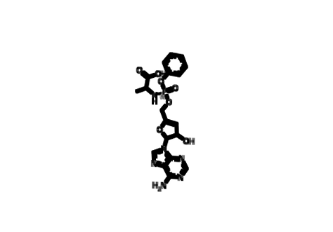 CC(N[P@](=O)(OCC1=CC(O)C(n2cnc3c(N)ncnc32)O1)Oc1ccccc1)C(=O)O